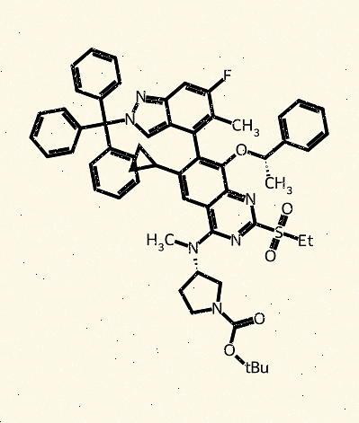 CCS(=O)(=O)c1nc(N(C)[C@H]2CCN(C(=O)OC(C)(C)C)C2)c2cc(C3CC3)c(-c3c(C)c(F)cc4nn(C(c5ccccc5)(c5ccccc5)c5ccccc5)cc34)c(O[C@@H](C)c3ccccc3)c2n1